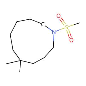 CC1(C)CCCCCN(S(C)(=O)=O)CCC1